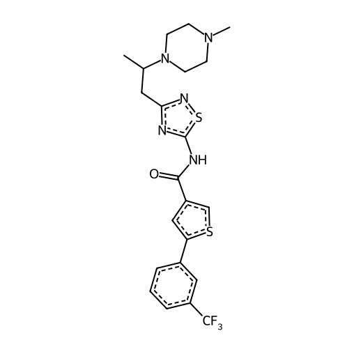 CC(Cc1nsc(NC(=O)c2csc(-c3cccc(C(F)(F)F)c3)c2)n1)N1CCN(C)CC1